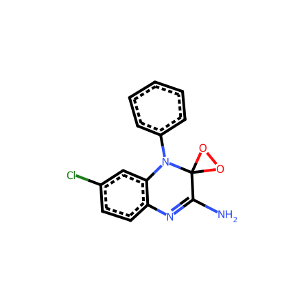 NC1=Nc2ccc(Cl)cc2N(c2ccccc2)C12OO2